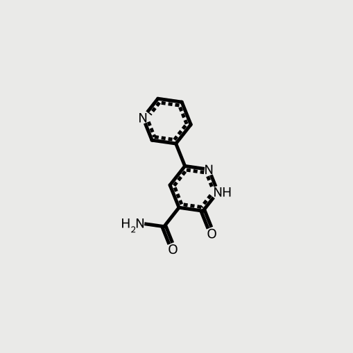 NC(=O)c1cc(-c2cccnc2)n[nH]c1=O